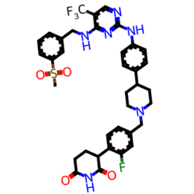 CS(=O)(=O)c1cccc(CNc2nc(Nc3ccc(C4CCN(Cc5ccc(C6CCC(=O)NC6=O)c(F)c5)CC4)cc3)ncc2C(F)(F)F)c1